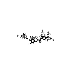 COc1cc(CCC(=O)c2sc(C)c3c2C[C@@H]2[C@H]3C2(C)C)cc(Cl)c1OCCOS(C)(=O)=O